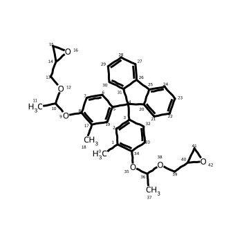 Cc1cc(C2(c3ccc(OC(C)OCC4CO4)c(C)c3)c3ccccc3-c3ccccc32)ccc1OC(C)OCC1CO1